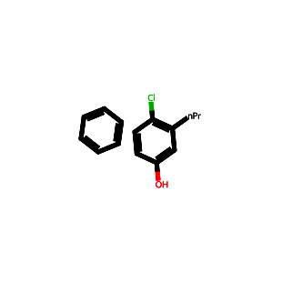 CCCc1cc(O)ccc1Cl.c1ccccc1